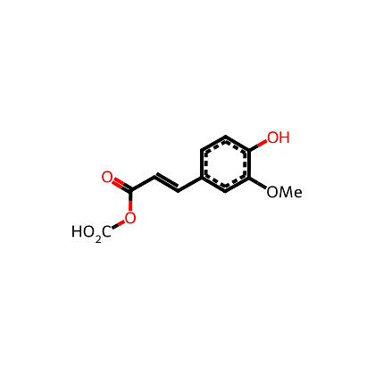 COc1cc(C=CC(=O)OC(=O)O)ccc1O